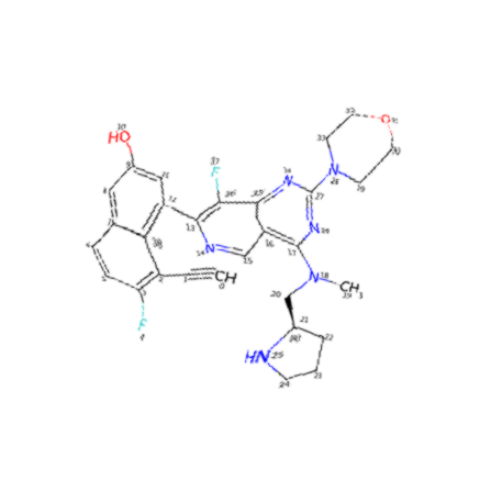 C#Cc1c(F)ccc2cc(O)cc(-c3ncc4c(N(C)C[C@H]5CCCN5)nc(N5CCOCC5)nc4c3F)c12